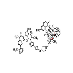 Cc1ncsc1-c1ccc([C@H](C)NC(=O)[C@@H]2C[C@@H](O)CN2C(=O)[C@H](c2cc(N3CC(OC4CCN(CCOc5nc(N6CC7CCC(C6)N7C(=O)OC(C)(C)C)c6cnc(-c7cc(O)cc8ccc(F)c(C#C[Si](C(C)C)(C(C)C)C(C)C)c78)c(F)c6n5)CC4)C3)no2)C(C)C)cc1